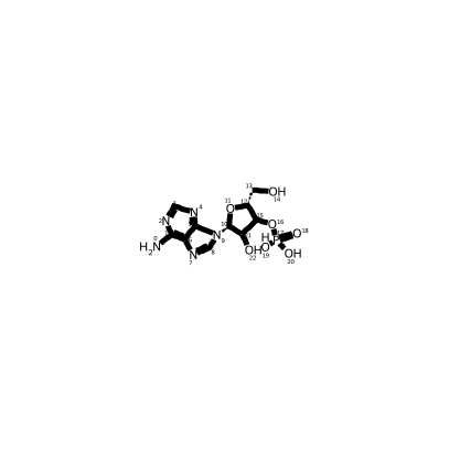 Nc1ncnc2c1ncn2[C@@H]1O[C@H](CO)C(OP(=O)(O)O)C1O